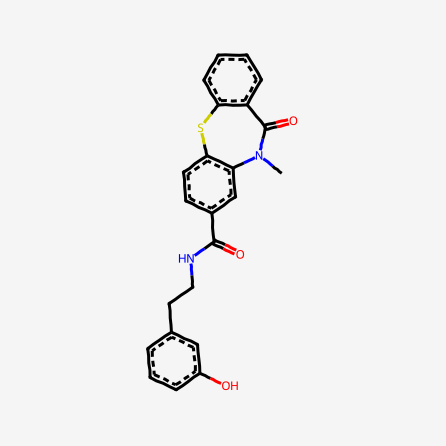 CN1C(=O)c2ccccc2Sc2ccc(C(=O)NCCc3cccc(O)c3)cc21